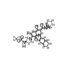 CC(C)(C)OC(=O)NC1CCN(c2c(F)cc3c(=O)c(C(=O)NN4CCCCC4)cn4c3c2Oc2cc3ccccc3cc2-4)C1